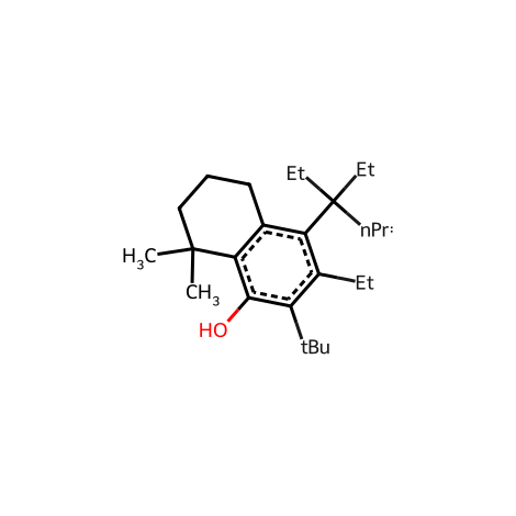 CC[C]C(CC)(CC)c1c(CC)c(C(C)(C)C)c(O)c2c1CCCC2(C)C